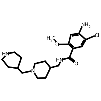 COc1cc(N)c(Cl)cc1C(=O)NCC1CCN(CC2CCNCC2)CC1